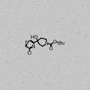 CC(C)(C)OC(=O)N1CCC(O)(c2cncc(Cl)n2)CC1